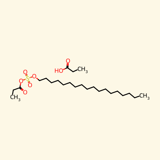 CCC(=O)O.CCCCCCCCCCCCCCCCCCOS(=O)(=O)OC(=O)CC